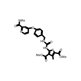 CNC(=O)c1cc(Oc2ccc(CNC(=O)Nc3sc(C(=O)OC)c(C)c3C(=O)OC)cc2)ccn1